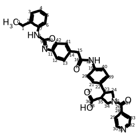 CCc1ccccc1Nc1nc2ccc(CC(=O)Nc3ccc(C4CN(C(=O)c5ccncc5)CC4C(=O)O)cc3)cc2o1